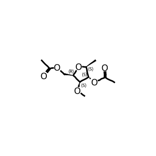 CO[C@@H]1[C@@H](OC(C)=O)[C@H](C)O[C@@H]1COC(C)=O